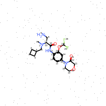 CN(CC1CCC1)[C@@H](CN)C(=O)Nc1ccc(N2CCOCC2=O)cc1OC(F)F